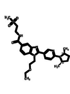 CCOCCn1c(-c2ccc(N3[C@@H](C)CC[C@@H]3C)nc2)nc2cc(C(=O)NCCS(C)(=O)=O)ccc21